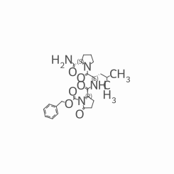 CC(C)C[C@H](NC(=O)[C@H]1CCC(=O)N1C(=O)OCc1ccccc1)C(=O)N1CCC[C@H]1C(N)=O